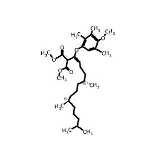 COC(=O)C(C(=O)OC)C(=CCC[C@H](C)CCC[C@H](C)CCCC(C)C)Oc1cc(C)c(OC)c(C)c1C